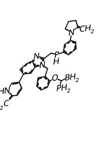 BC(P)Oc1ccccc1Cn1c(CPc2cccc(N3CCCC3=C)c2)nc2ccc(C3=CNC(=C)C=C3)cc21